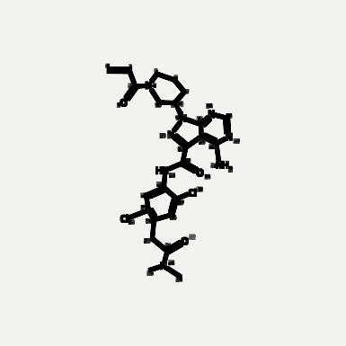 C=CC(=O)N1CCC[C@@H](n2nc(C(=O)Nc3cc(Cl)c(CC(=O)N(C)C)cc3Cl)c3c(N)ncnc32)C1